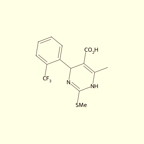 CSC1=NC(c2ccccc2C(F)(F)F)C(C(=O)O)=C(C)N1